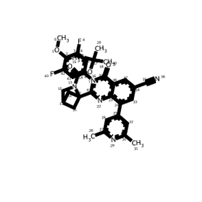 COc1c(F)cc(-n2c(C34CC(CN3C(=O)OC(C)(C)C)C4)nc3c(-c4cc(C)nc(C)c4)cc(C#N)cc3c2=O)cc1F